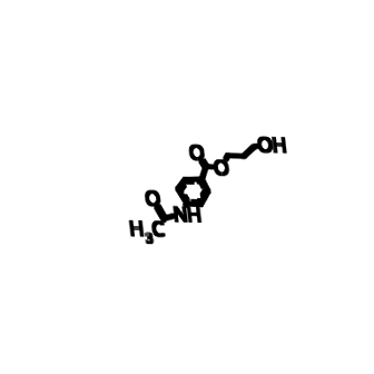 CC(=O)Nc1ccc(C(=O)OCCCO)cc1